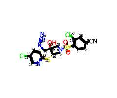 N#Cc1ccc(S(=O)(=O)N2C[C@H](Sc3ccc(Cl)cn3)[C@](O)(CN=[N+]=[N-])C2)c(Cl)c1